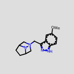 COc1ccc2[nH]nc([C]N3CC4CCC(C3)N4C)c2c1